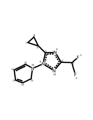 FC(F)c1nc(C2CC2)n(N2C=CC=CC2)n1